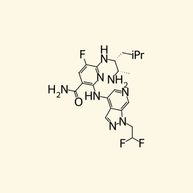 CC(C)C[C@@H](Nc1nc(Nc2cncc3c2cnn3CC(F)F)c(C(N)=O)cc1F)[C@H](C)N